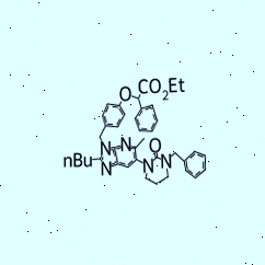 CCCCc1nc2cc(N3CCCN(Cc4ccccc4)C3=O)c(C)nc2n1Cc1ccc(OC(C(=O)OCC)c2ccccc2)cc1